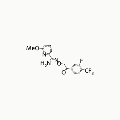 COc1cccc(C(N)=NOCC(=O)c2ccc(C(F)(F)F)c(F)c2)n1